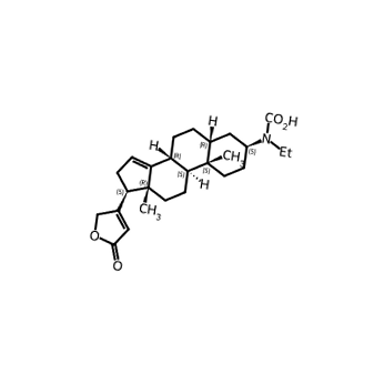 CCN(C(=O)O)[C@H]1CC[C@@]2(C)[C@H](CC[C@H]3C4=CC[C@H](C5=CC(=O)OC5)[C@@]4(C)CC[C@@H]32)C1